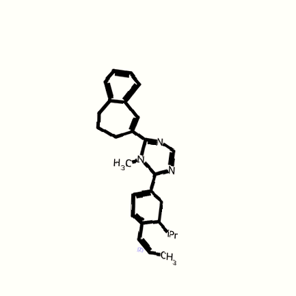 C/C=C\C1=CC=C(C2N=CN=C(C3=Cc4ccccc4CCC3)N2C)CC1C(C)C